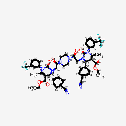 CCOC(=O)C1=C(C)N(c2cccc(C(F)(F)F)c2)C(=O)N(CC(=O)N2CCN(C(=O)CN3C(=O)N(c4cccc(C(F)(F)F)c4)C(C)=C(C(=O)OCC)[C@H]3c3ccc(C#N)cc3)CC2)[C@@H]1c1ccc(C#N)cc1